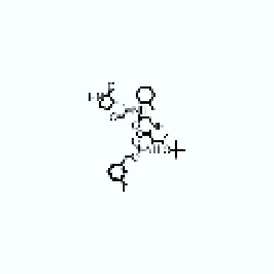 C[C@@H](OC(C)(C)C)[C@H](NC(=O)OCc1cccc(F)c1)C(=O)N[C@@H](CC1CCCCC1)C(=O)N[C@H](C=O)C[C@@H]1CCNC1=O